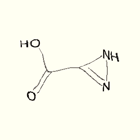 O=C(O)C1=NN1